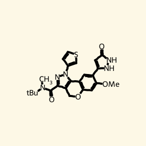 COc1cc2c(cc1-c1cc(=O)[nH][nH]1)-c1c(c(C(=O)N(C)C(C)(C)C)nn1-c1ccsc1)CO2